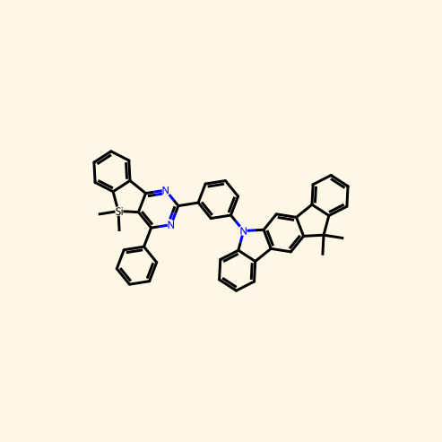 CC1(C)c2ccccc2-c2cc3c(cc21)c1ccccc1n3-c1cccc(-c2nc(-c3ccccc3)c3c(n2)-c2ccccc2[Si]3(C)C)c1